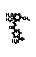 CC1C=C(C=CC(=O)N2CCN(C(N)=O)CC2)C(C)(C)CC1